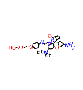 CCN(CC)c1ccc2c(c1)Oc1cc(N)ccc1C21c2ccccc2C(=O)N1/N=C/C=N/c1ccc(OCCOCCO)cc1